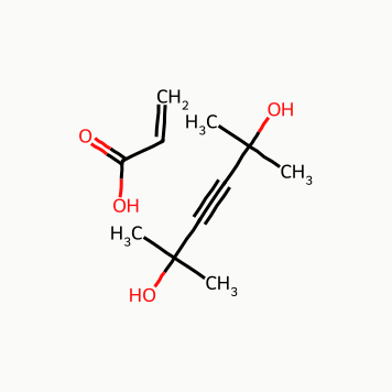 C=CC(=O)O.CC(C)(O)C#CC(C)(C)O